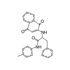 Cc1ccc(NC(=O)C(Cc2ccccc2)NC2=CC(=O)c3ccccc3C2=O)cc1